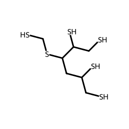 SCSC(CC(S)CS)C(S)CS